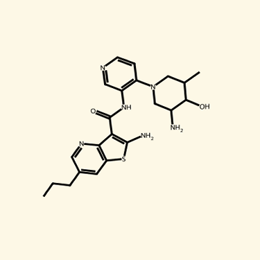 CCCc1cnc2c(C(=O)Nc3cnccc3N3CC(C)C(O)C(N)C3)c(N)sc2c1